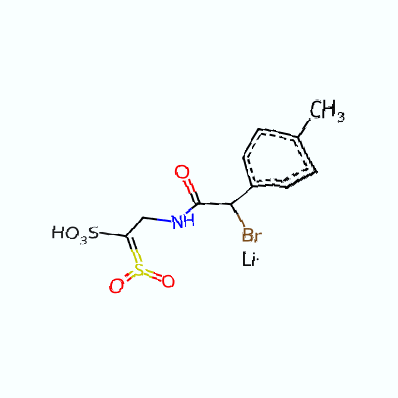 Cc1ccc(C(Br)C(=O)NCC(=S(=O)=O)S(=O)(=O)O)cc1.[Li]